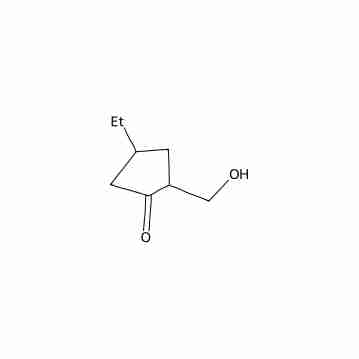 CCC1CC(=O)C(CO)C1